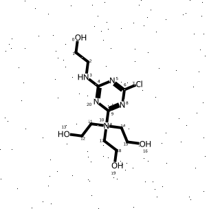 OCCNc1nc(Cl)nc([N+](CCO)(CCO)CCO)n1